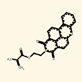 C=C(C)C(=O)OCCn1c(=O)c2ccc3sc4ccccc4c4ccc(c1=O)c2c34